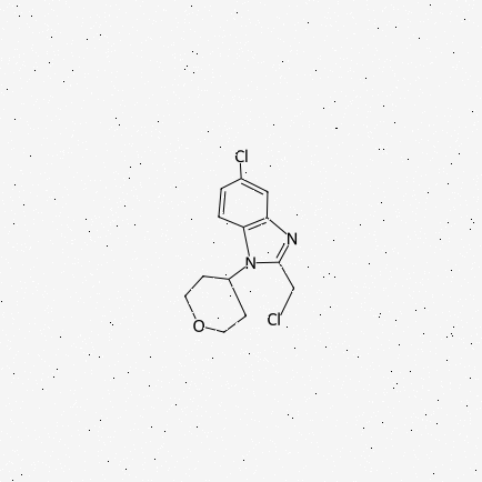 ClCc1nc2cc(Cl)ccc2n1C1CCOCC1